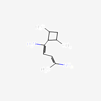 C/C(N)=C\C=C(\N)C1C(C)CC1C